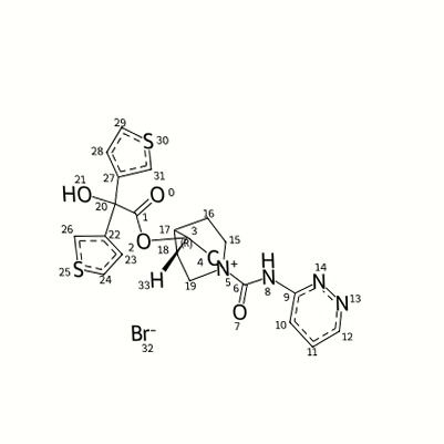 O=C(O[C@H]1C[N+]2(C(=O)Nc3cccnn3)CCC1CC2)C(O)(c1ccsc1)c1ccsc1.[Br-]